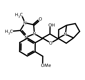 COCc1ccccc1COC1CC2CCC(C1)N2CC(O)Cn1nc(C)n(C)c1=O